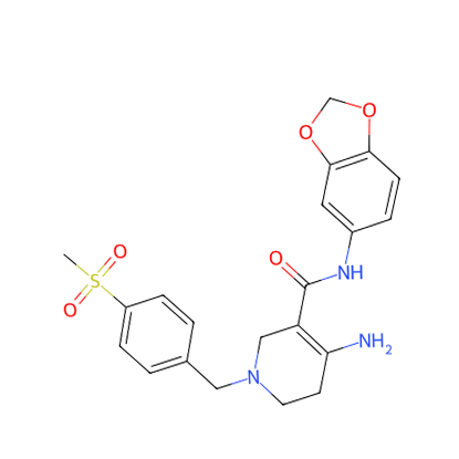 CS(=O)(=O)c1ccc(CN2CCC(N)=C(C(=O)Nc3ccc4c(c3)OCO4)C2)cc1